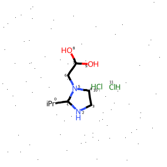 CC(C)C1NCCN1CC(O)O.Cl.Cl